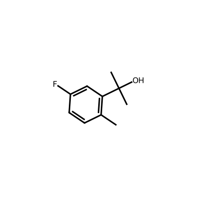 Cc1ccc(F)cc1C(C)(C)O